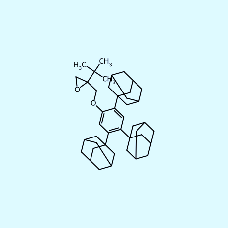 CC(C)(C)C1(COc2cc(C34CC5CC(CC(C5)C3)C4)c(C34CC5CC(CC(C5)C3)C4)cc2C23CC4CC(CC(C4)C2)C3)CO1